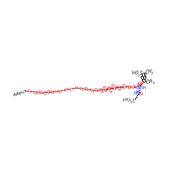 COCCOCCOCCOCCOCCOCCOCCOCCOCCOCCOCCOCCOCCOCCOCCOCCOCCOCCOCCOCCOCCOCCOCCOCCNC(=O)C(CCC(=O)NCCCCCC(=O)O)NC(=O)COc1cc(C)c2ccc3c(C)cc(S(=O)(=O)O)c4ccc1c2c34